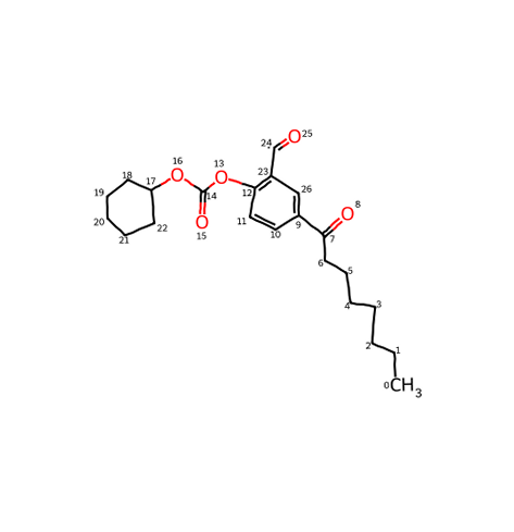 CCCCCCCC(=O)c1ccc(OC(=O)OC2CCCCC2)c([C]=O)c1